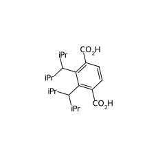 CC(C)C(c1c(C(=O)O)ccc(C(=O)O)c1C(C(C)C)C(C)C)C(C)C